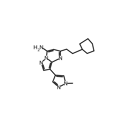 Cn1cc(-c2cnn3c(N)cc(CCC4CCCCC4)nc23)cn1